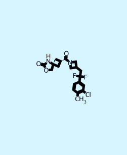 Cc1ccc(C(F)(F)CC2CN(C(=O)[C@H]3C[C@@]4(COC(=O)N4)C3)C2)cc1Cl